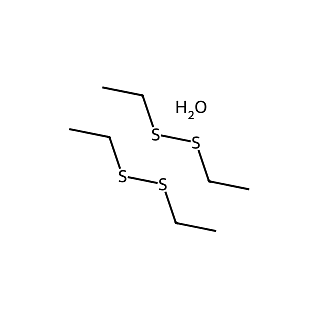 CCSSCC.CCSSCC.O